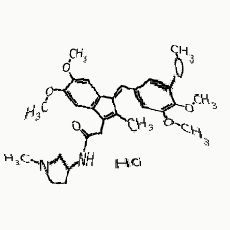 COc1cc2c(cc1OC)C(CC(=O)NC1CCN(C)C1)=C(C)C2=Cc1cc(OC)c(OC)c(OC)c1.Cl